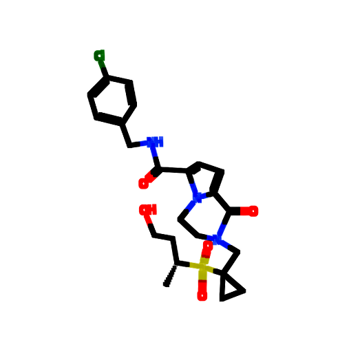 C[C@H](CCO)S(=O)(=O)C1(CN2CCn3c(C(=O)NCc4ccc(Cl)cc4)ccc3C2=O)CC1